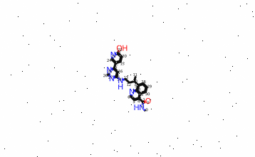 CNC(=O)c1ccnc2c(C(C)CCNc3cc(-c4ccc(O)nc4)ncn3)cccc12